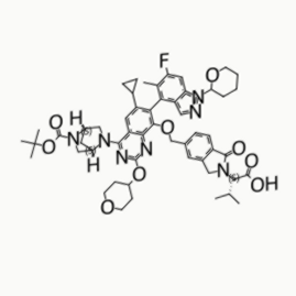 Cc1c(F)cc2c(cnn2C2CCCCO2)c1-c1c(C2CC2)cc2c(N3C[C@@H]4C[C@H]3CN4C(=O)OC(C)(C)C)nc(OC3CCOCC3)nc2c1OCc1ccc2c(c1)CN([C@H](C(=O)O)C(C)C)C2=O